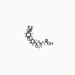 O=C(O)CCN1CCOC(c2ccc(Oc3ccc(OC(F)(F)F)cc3)cc2)C1